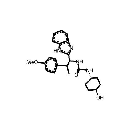 COc1ccc(C(C)C(NC(=O)N[C@H]2CC[C@H](O)CC2)c2nc3ccccc3[nH]2)cc1